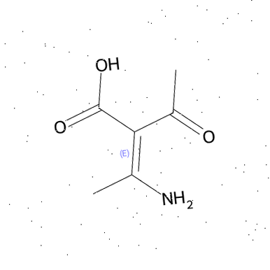 CC(=O)/C(C(=O)O)=C(/C)N